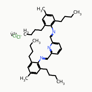 CCCCc1cc(C)cc(CCCC)c1N=Cc1cccc(C=Nc2c(CCCC)cc(C)cc2CCCC)n1.[Cl-].[Cl-].[V+2]